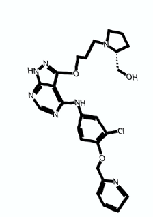 OC[C@H]1CCCN1CCCOc1n[nH]c2ncnc(Nc3ccc(OCc4ccccn4)c(Cl)c3)c12